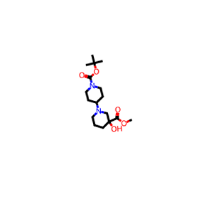 COC(=O)C1(O)CCCN(C2CCN(C(=O)OC(C)(C)C)CC2)C1